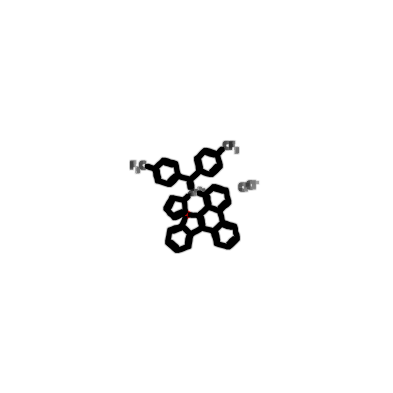 FC(F)(F)c1ccc([C](c2ccc(C(F)(F)F)cc2)=[Zr+2]([c]2cccc3c2c2c(c4ccccc43)-c3ccccc3C2)[CH]2C=CC=C2)cc1.[Cl-].[Cl-]